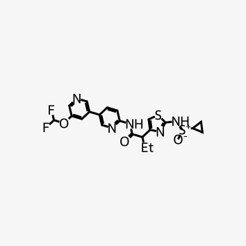 CCC(C(=O)Nc1ccc(-c2cncc(OC(F)F)c2)cn1)c1csc(N[S+]([O-])C2CC2)n1